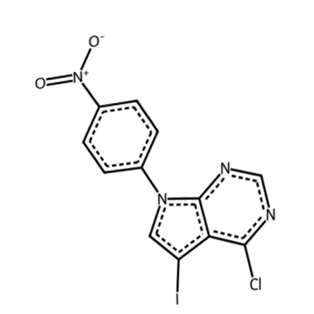 O=[N+]([O-])c1ccc(-n2cc(I)c3c(Cl)ncnc32)cc1